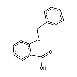 O=C(O)c1ccc[c]c1OCc1ccccc1